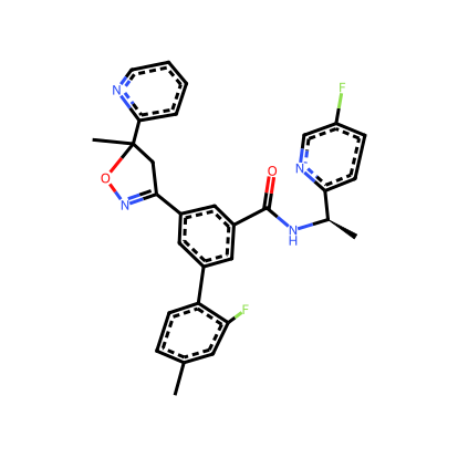 Cc1ccc(-c2cc(C(=O)N[C@H](C)c3ccc(F)cn3)cc(C3=NOC(C)(c4ccccn4)C3)c2)c(F)c1